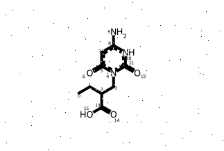 CCC(Cn1c(=O)cc(N)[nH]c1=O)C(=O)O